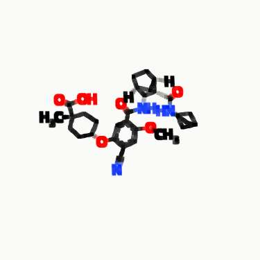 COc1cc(C#N)c(O[C@H]2CC[C@@](C)(C(=O)O)CC2)cc1C(=O)N[C@@H]1[C@H]2CC[C@H](C2)[C@@H]1C(=O)NC12CC(C1)C2